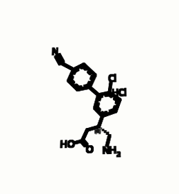 Cl.N#Cc1ccc(-c2cc([C@H](CN)CC(=O)O)ccc2Cl)cc1